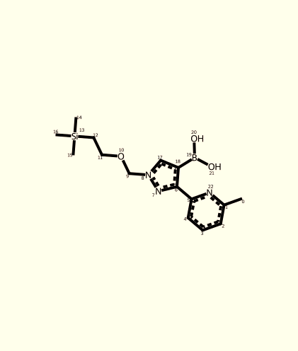 Cc1cccc(-c2nn(COCC[Si](C)(C)C)cc2B(O)O)n1